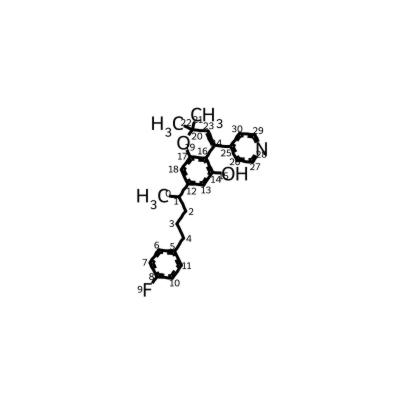 CC(CCCc1ccc(F)cc1)c1cc(O)c2c(c1)OC(C)(C)C=C2c1ccncc1